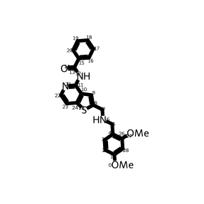 COc1ccc(CNCc2cc3c(NC(=O)c4ccccc4)nccc3s2)c(OC)c1